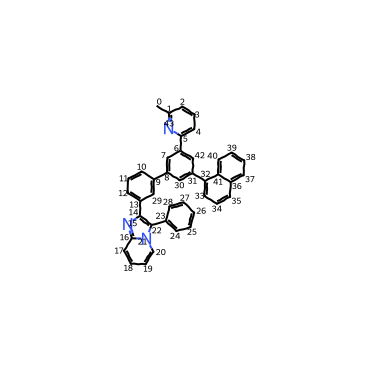 Cc1cccc(-c2cc(-c3cccc(-c4nc5ccccn5c4-c4ccccc4)c3)cc(-c3cccc4ccccc34)c2)n1